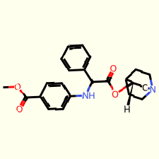 COC(=O)c1ccc(NC(C(=O)O[C@H]2CN3CCC2CC3)c2ccccc2)cc1